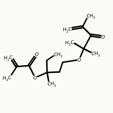 C=C(C)C(=O)OC(C)(CC)CCOC(C)(C)C(=O)C(=C)C